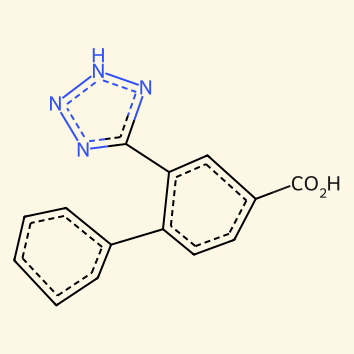 O=C(O)c1ccc(-c2ccccc2)c(-c2nn[nH]n2)c1